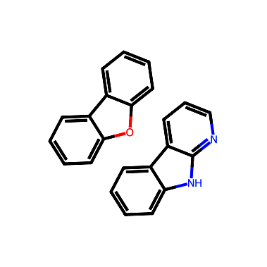 c1ccc2c(c1)[nH]c1ncccc12.c1ccc2c(c1)oc1ccccc12